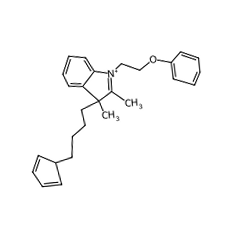 CC1=[N+](CCOc2ccccc2)c2ccccc2C1(C)CCCCC1C=CC=C1